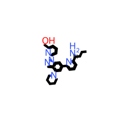 CCC[C@H](N)c1cccc(-c2cc(N3CCCCC3)c3cnn(-c4cccc(CO)n4)c3c2)n1